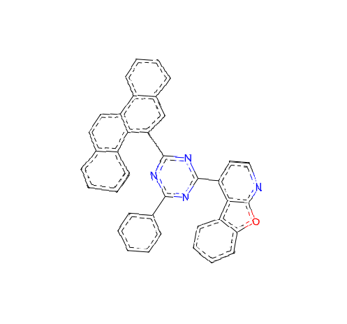 c1ccc(-c2nc(-c3ccnc4oc5ccccc5c34)nc(-c3cc4ccccc4c4ccc5ccccc5c34)n2)cc1